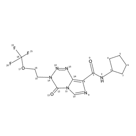 O=C(NC1CCCC1)c1ncn2c(=O)n(CCOC(F)(F)F)nnc12